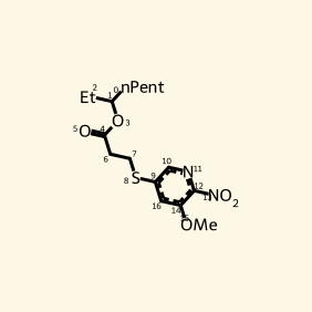 CCCCCC(CC)OC(=O)CCSc1cnc([N+](=O)[O-])c(OC)c1